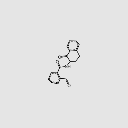 O=Cc1ccccc1C(=O)NC1CCc2ccccc2C1=O